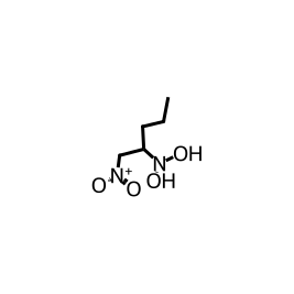 CCCC(C[N+](=O)[O-])N(O)O